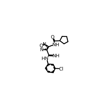 N=C(Nc1cccc(Cl)c1)c1nonc1NC(=O)C1CCCC1